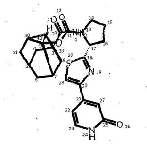 NC(=O)[C@]12CC3CC(C1)[C@@H](OC(=O)N1CCC[C@@H]1c1nc(-c4cc[nH]c(=O)c4)cs1)C(C3)C2